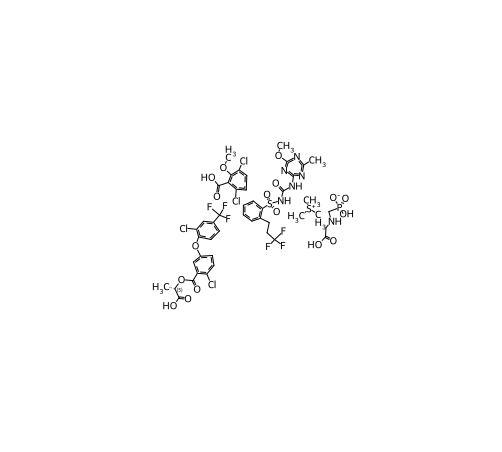 COc1c(Cl)ccc(Cl)c1C(=O)O.COc1nc(C)nc(NC(=O)NS(=O)(=O)c2ccccc2CCC(F)(F)F)n1.C[C@H](OC(=O)c1cc(Oc2ccc(C(F)(F)F)cc2Cl)ccc1Cl)C(=O)O.C[S+](C)C.O=C(O)CNCP(=O)([O-])O